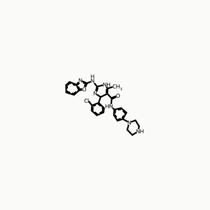 CC1=C(C(=O)Nc2ccc(N3CCNCC3)cc2)C(c2ccccc2Cl)N=C(Nc2nc3ccccc3o2)N1